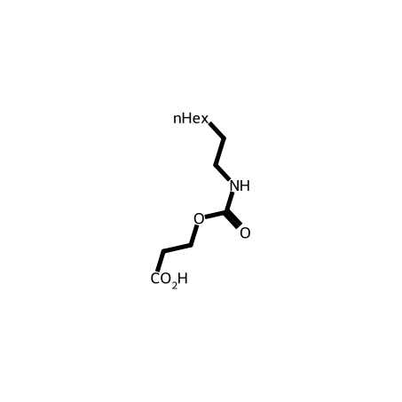 CCCCCCCCNC(=O)OCCC(=O)O